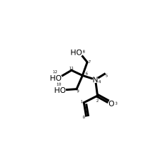 C=CC(=O)N(C)C(CO)(CO)CO